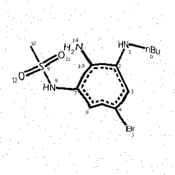 CCCCNc1cc(Br)cc(NS(C)(=O)=O)c1N